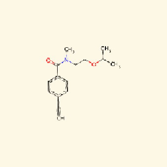 C#Cc1ccc(C(=O)N(C)CCOC(C)C)cc1